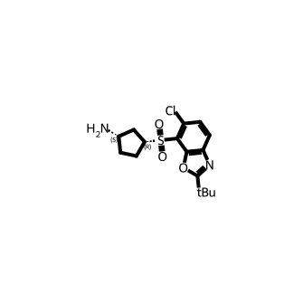 CC(C)(C)c1nc2ccc(Cl)c(S(=O)(=O)[C@@H]3CC[C@H](N)C3)c2o1